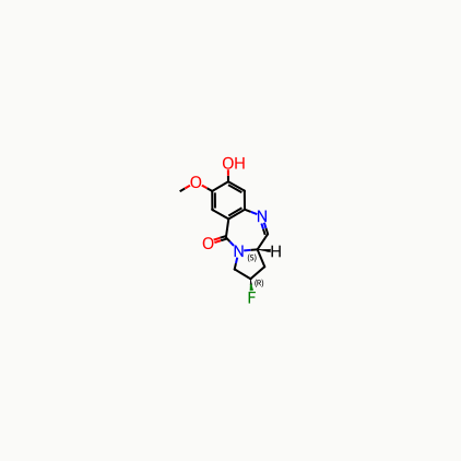 COc1cc2c(cc1O)N=C[C@@H]1C[C@@H](F)CN1C2=O